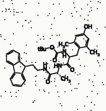 Cc1cc(O)cc(C)c1CC(NC(=O)OC(C)(C)C)C(=O)N[C@H](C)C(=O)NCCC1c2ccccc2-c2ccccc21